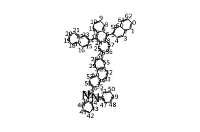 C1=CC2C=CC(c3c4ccccc4c(-c4ccc5ccccc5c4)c4cc(-c5ccc6c(ccc7cc(-c8nc9ccccc9n8-c8ccccc8)ccc76)c5)ccc34)=CC2C=C1